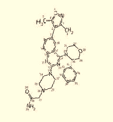 Cc1noc(C)c1-c1ccc2nc(N3CCN(CC(N)=O)CC3)nc(N3CCOC[C@@H]3c3ccccc3)c2c1